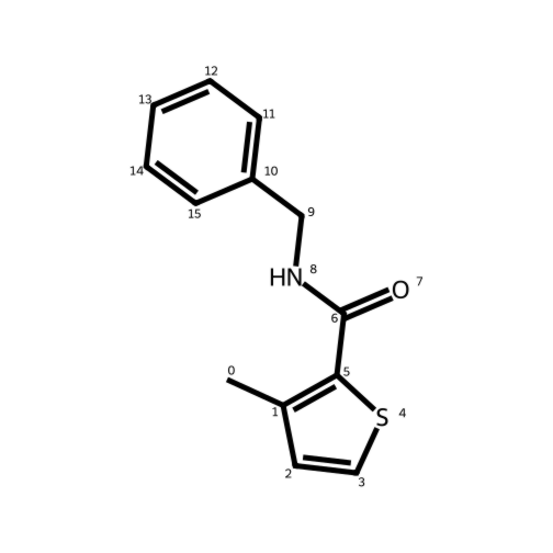 Cc1ccsc1C(=O)NCc1ccccc1